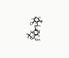 CC(C)(C)Cn1c(C(=O)O)cnc1SCc1c(F)cccc1Cl